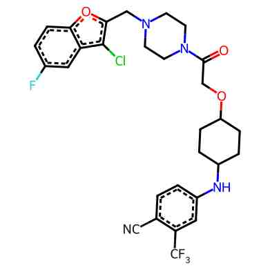 N#Cc1ccc(NC2CCC(OCC(=O)N3CCN(Cc4oc5ccc(F)cc5c4Cl)CC3)CC2)cc1C(F)(F)F